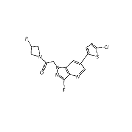 O=C(Cn1nc(F)c2ncc(-c3ccc(Cl)s3)cc21)N1CC(F)C1